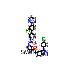 CS[C@@]1(C(=O)Nc2ccc3[nH]nc(-c4ccc(F)cc4)c3c2)CCN(CC(=O)N2CC=C(c3ccc(-c4ncccn4)cc3F)CC2)C1